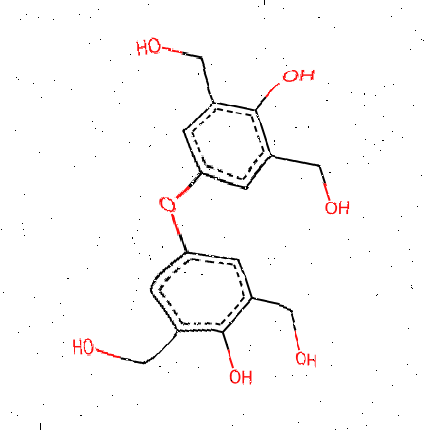 OCc1cc(Oc2cc(CO)c(O)c(CO)c2)cc(CO)c1O